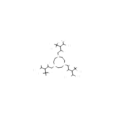 CC(C)C(C(O)CN1CCN(CC(O)C(C(C)C)C(C)(C)O)CCN(CC(O)C(C(C)C)C(C)(C)O)CC1)C(C)(C)O